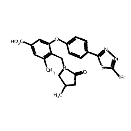 Cc1cc(C(=O)O)cc(Oc2ccc(-c3nnc(C(C)C)s3)cc2)c1CN1CC(C)CC1=O